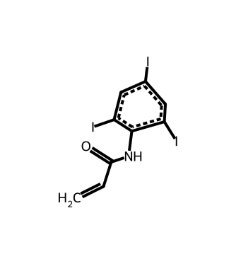 C=CC(=O)Nc1c(I)cc(I)cc1I